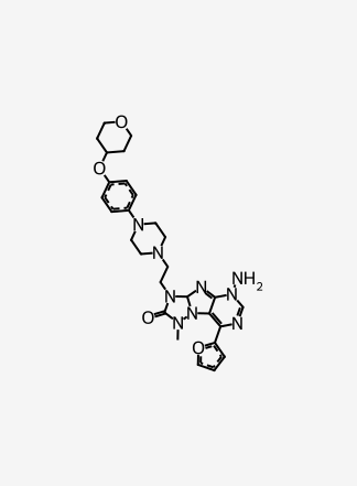 CN1C(=O)N(CCN2CCN(c3ccc(OC4CCOCC4)cc3)CC2)C2N=C3C(=C(c4ccco4)N=CN3N)N21